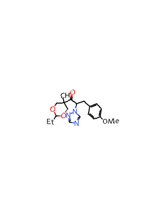 CCC1OCC(C)(C(=O)C(Cc2ccc(OC)cc2)n2cncn2)CO1